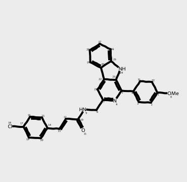 COC1=CC=C(c2nc(CNC(=O)/C=C/c3ccc(Cl)cc3)cc3c2[nH]c2ccccc23)CC1